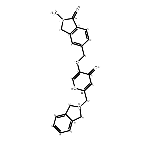 CN1Cc2cc(COc3coc(CN4Cc5ccccc5C4)cc3=O)ccc2C1=O